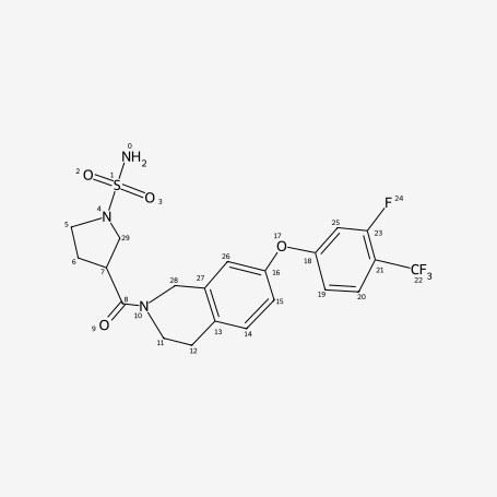 NS(=O)(=O)N1CCC(C(=O)N2CCc3ccc(Oc4ccc(C(F)(F)F)c(F)c4)cc3C2)C1